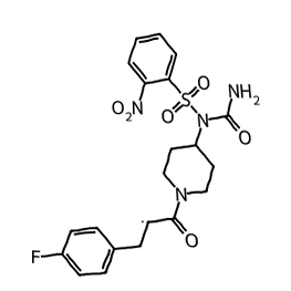 NC(=O)N(C1CCN(C(=O)[CH]Cc2ccc(F)cc2)CC1)S(=O)(=O)c1ccccc1[N+](=O)[O-]